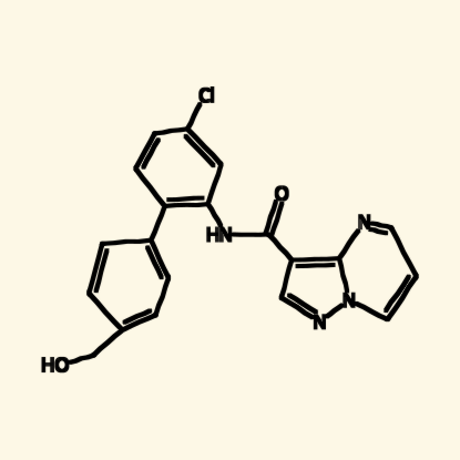 O=C(Nc1cc(Cl)ccc1-c1ccc(CO)cc1)c1cnn2cccnc12